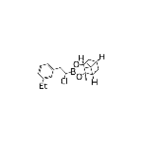 CCc1cccc(CC(Cl)B2O[C@@H]3C[C@@H]4C[C@@H](C4(C)C)[C@]3(C)O2)c1